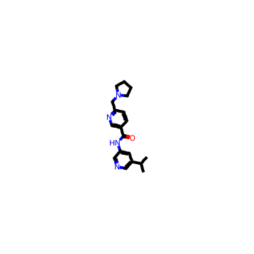 CC(C)c1cncc(NC(=O)c2ccc(CN3CCCC3)nc2)c1